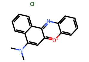 CN(C)c1cc2[o+]c3ccccc3nc2c2ccccc12.[Cl-]